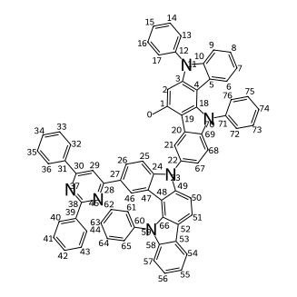 Cc1cc2c(c3ccccc3n2-c2ccccc2)c2c1c1cc(-n3c4ccc(-c5cc(-c6ccccc6)nc(-c6ccccc6)n5)cc4c4c3ccc3c5ccccc5n(-c5ccccc5)c34)ccc1n2-c1ccccc1